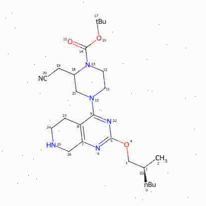 CCCC[C@H](C)COc1nc2c(c(N3CCN(C(=O)OC(C)(C)C)C(CC#N)C3)n1)CCNC2